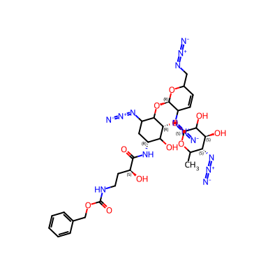 CC1O[C@@H](O[C@H]2C(O[C@H]3OC(CN=[N+]=[N-])C=CC3N=[N+]=[N-])C(N=[N+]=[N-])C[C@@H](NC(=O)[C@@H](O)CCNC(=O)OCc3ccccc3)C2O)C(O)[C@@H](O)[C@@H]1N=[N+]=[N-]